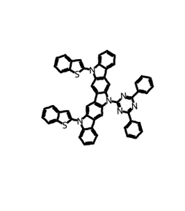 c1ccc(-c2nc(-c3ccccc3)nc(-n3c4cc5c6ccccc6n(-c6cc7ccccc7s6)c5cc4c4cc5c(cc43)c3ccccc3n5-c3cc4ccccc4s3)n2)cc1